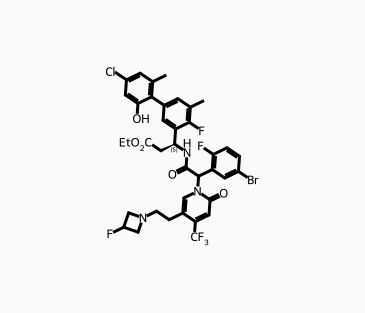 CCOC(=O)C[C@H](NC(=O)C(c1cc(Br)ccc1F)n1cc(CCN2CC(F)C2)c(C(F)(F)F)cc1=O)c1cc(-c2c(C)cc(Cl)cc2O)cc(C)c1F